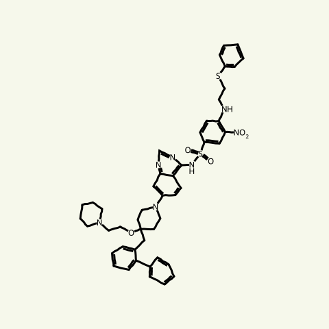 O=[N+]([O-])c1cc(S(=O)(=O)Nc2ncnc3cc(N4CCC(Cc5ccccc5-c5ccccc5)(OCCN5CCCCC5)CC4)ccc23)ccc1NCCSc1ccccc1